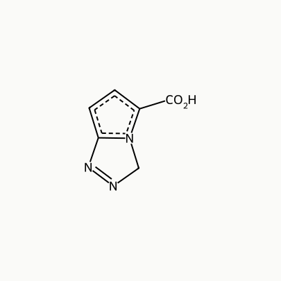 O=C(O)c1ccc2n1CN=N2